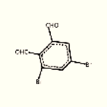 O=Cc1cc(Br)cc(Br)c1C=O